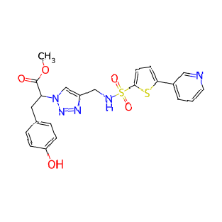 COC(=O)C(Cc1ccc(O)cc1)n1cc(CNS(=O)(=O)c2ccc(-c3cccnc3)s2)nn1